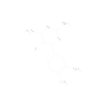 Cc1ccc(-c2nc(N)nc(N)c2F)cc1N